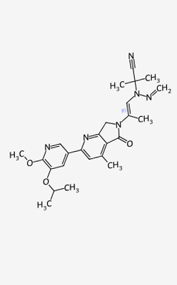 C=NN(/C=C(\C)N1Cc2nc(-c3cnc(OC)c(OC(C)C)c3)cc(C)c2C1=O)C(C)(C)C#N